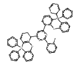 Cc1ccccc1-c1nc(-c2cccc3c2Oc2ccccc2[Si]3(c2ccccc2)C2C=CC=CC2)cc(C2CC=CC3=C2Oc2ccccc2[Si]3(c2ccccc2)c2ccccc2)n1